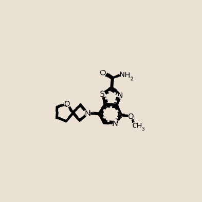 COc1ncc(N2CC3(CCCO3)C2)c2sc(C(N)=O)nc12